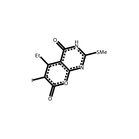 CCc1c(I)c(=O)oc2nc(SC)[nH]c(=O)c12